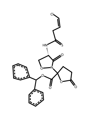 O=C1CCC(C(=O)OC(c2ccccc2)c2ccccc2)(N2OC[C@H](NC(=S)C/C=C\Cl)C2=O)O1